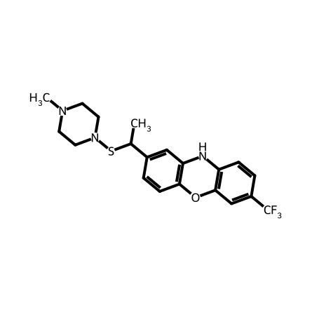 CC(SN1CCN(C)CC1)c1ccc2c(c1)Nc1ccc(C(F)(F)F)cc1O2